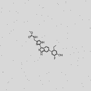 CCc1cc(O)c(F)cc1-c1ccc2c(-c3nc(CNC(=O)OC)c[nH]3)n[nH]c2c1